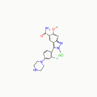 COc1cc2nn(C)c(-c3ccc(N4CCNCC4)cc3F)c2cc1C(N)=O.Cl